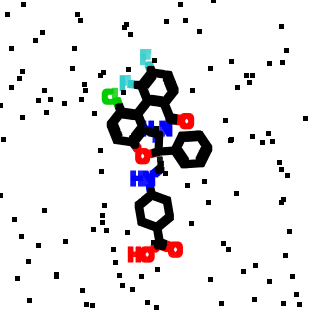 NC(=O)c1ccc(F)c(F)c1-c1c(Cl)ccc2c1C[C@@](CNC1CCC(C(=O)O)CC1)(c1ccccc1)O2